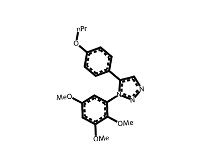 CCCOc1ccc(-c2cnnn2-c2cc(OC)cc(OC)c2OC)cc1